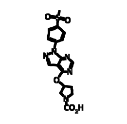 CS(=O)(=O)c1ccc(-n2ncc3c(OC4CCN(C(=O)O)C4)ncnc32)cc1